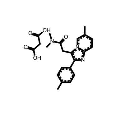 Cc1ccc(-c2nc3ccc(C)cn3c2CC(=O)N(C)C)cc1.O=C(O)CC(=O)O